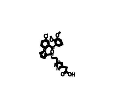 COc1cccc([C@H]2O[C@H](CCn3cc(CC(=O)O)nn3)c3cccn3-c3ccc(Cl)cc32)c1OC